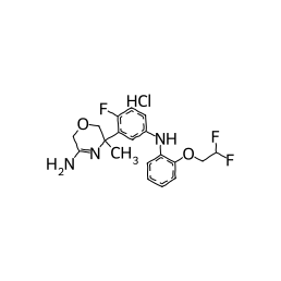 CC1(c2cc(Nc3ccccc3OCC(F)F)ccc2F)COCC(N)=N1.Cl